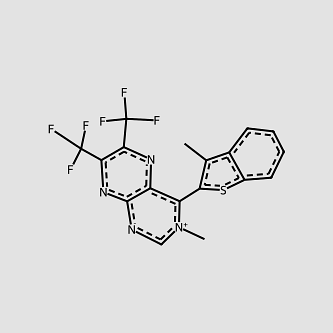 Cc1c(-c2c3nc(C(F)(F)F)c(C(F)(F)F)nc3nc[n+]2C)sc2ccccc12